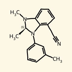 Cc1cccc(N2c3c(C#N)cccc3N(C)[C@@H]2C)c1